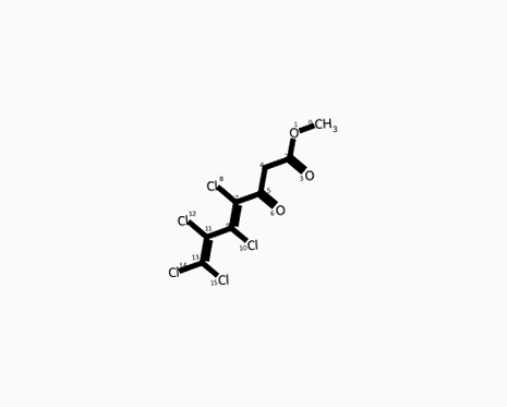 COC(=O)CC(=O)/C(Cl)=C(\Cl)C(Cl)=C(Cl)Cl